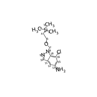 C[Si](C)(C)CCOCn1ncc2cc(N)cc(Cl)c21